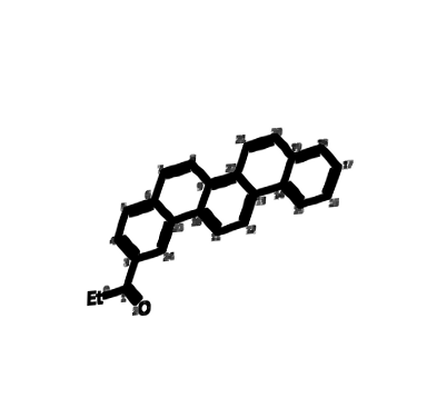 CCC(=O)c1ccc2ccc3c(ccc4c5ccccc5ccc43)c2c1